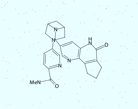 CNC(=O)c1ccc(N2CC3CC(C2)N3Cc2cnc3c4c(c(=O)[nH]c3c2)CCC4)cn1